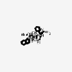 CCOCc1nc2c(N)nc3ccccc3c2n1[C@@](C)(O)COP(=O)(N[C@@H](C)C(=O)OC(C)(C)C)Oc1ccc2ccccc2c1